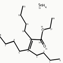 CCCCC(CCCC)=C(CCCC)C(=O)OCC.[SnH4]